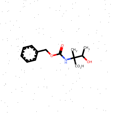 CC(O)C(C)(NC(=O)OCc1ccccc1)C(=O)O